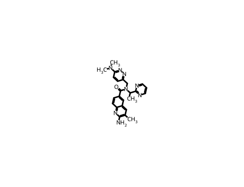 Cc1cc2cc(C(=O)N(Cc3ccc(N(C)C)nn3)C(C)c3ncccn3)ccc2nc1N